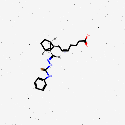 C/C(=N\NC(=S)Nc1ccccc1)[C@@H]1[C@H]2CC[C@H](C2)[C@H]1C/C=C\CCCC(=O)O